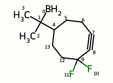 BC(C)(C)C1CCC#CC(F)(F)CC1